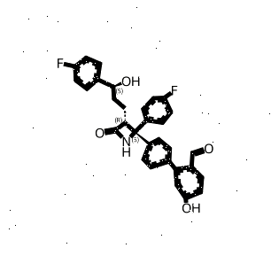 O=Cc1ccc(O)cc1-c1ccc([C@@]2(c3ccc(F)cc3)NC(=O)[C@@H]2CC[C@H](O)c2ccc(F)cc2)cc1